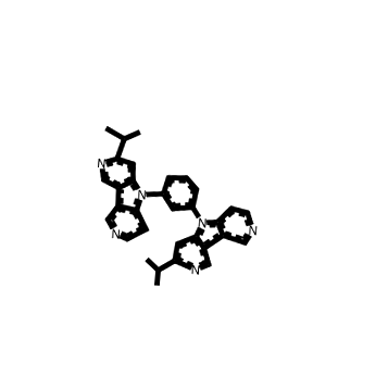 CC(C)c1cc2c(cn1)c1cnccc1n2-c1cccc(-n2c3ccncc3c3cnc(C(C)C)cc32)c1